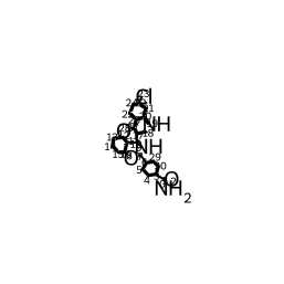 NC(=O)c1ccc(C(=O)NC(c2ccccc2)c2c[nH]c3cc(Cl)ccc3c2=O)cc1